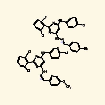 CCc1ccc(/C=N/Nc2nc(Nc3ccc(Cl)cc3)nc(-c3c(F)cccc3Cl)n2)cc1.FC(F)(F)Oc1ccc(/C=N\Nc2nc(Nc3ccc(Cl)nc3)nc(-c3c(Cl)cccc3Cl)n2)cc1